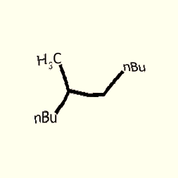 CC[CH]CCC(C)CCCC